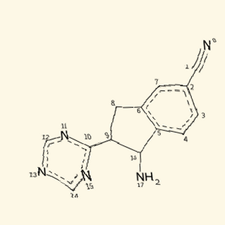 N#Cc1ccc2c(c1)CC(c1ncncn1)C2N